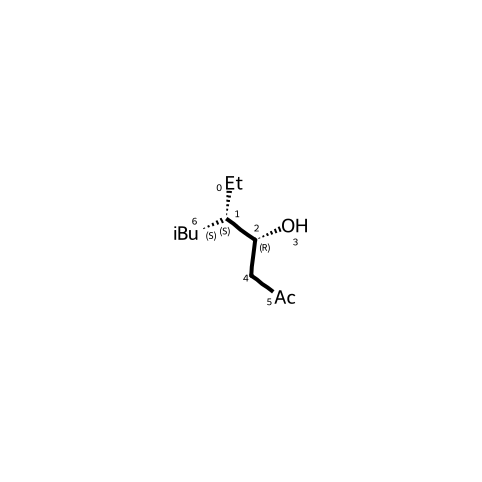 CC[C@H]([C@H](O)CC(C)=O)[C@@H](C)CC